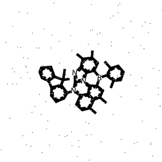 Cc1cccc(C)c1B1c2cc(C)c(C)c3nc4n(-c5cccc6c5C(C)(C)c5ccccc5-6)c5ccc(C)c6c(C)cc1c(c65)n4c23